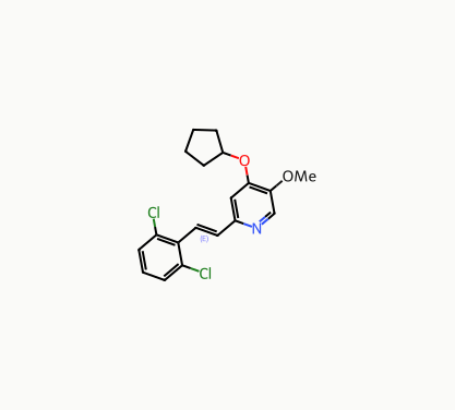 COc1cnc(/C=C/c2c(Cl)cccc2Cl)cc1OC1CCCC1